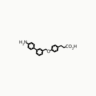 Nc1ccc(-c2cccc(COc3ccc(CCC(=O)O)cc3)c2)cc1